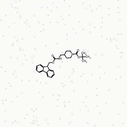 CC(C)(C)OC(=O)N1CCC(CNC(=O)OCC2c3ccccc3-c3ccccc32)CC1